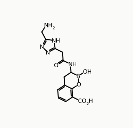 NCc1nnc(CC(=O)NC2Cc3cccc(C(=O)O)c3OB2O)[nH]1